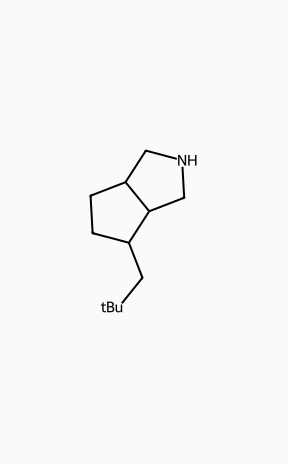 CC(C)(C)CC1CCC2CNCC21